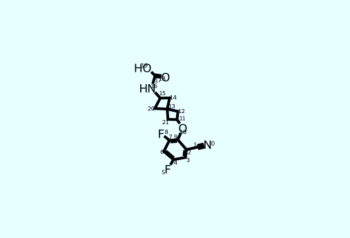 N#Cc1cc(F)cc(F)c1OC1CC2(CC(NC(=O)O)C2)C1